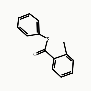 Cc1ccccc1C(=O)Sc1ccccc1